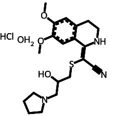 COc1cc2c(cc1OC)C(=C(C#N)SCC(O)CN1CCCC1)NCC2.Cl.O